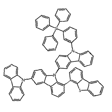 c1ccc([Si](c2ccccc2)(c2ccccc2)c2cccc(-n3c4ccccc4c4cc(-n5c6ccc(-n7c8ccccc8c8ccccc87)cc6c6cccc(-c7cccc8c7sc7ccccc78)c65)ccc43)c2)cc1